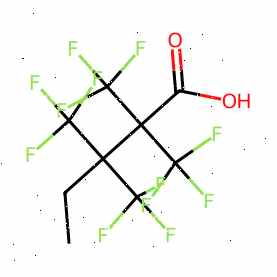 CCC(C(F)(F)F)(C(F)(F)F)C(C(=O)O)(C(F)(F)F)C(F)(F)F